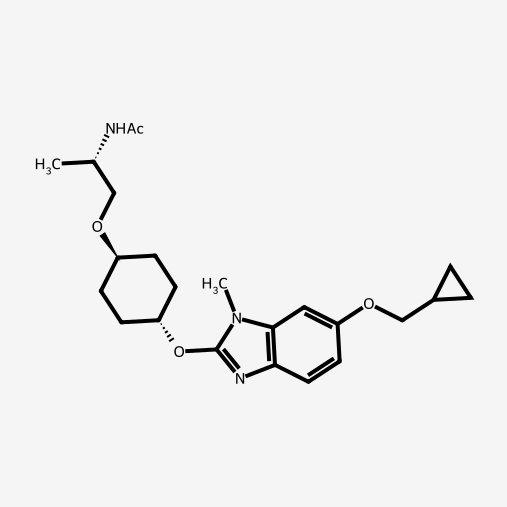 CC(=O)N[C@@H](C)CO[C@H]1CC[C@H](Oc2nc3ccc(OCC4CC4)cc3n2C)CC1